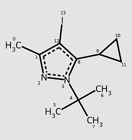 Cc1nn(C(C)(C)C)c(C2CC2)c1I